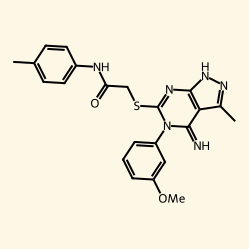 COc1cccc(-n2c(SCC(=O)Nc3ccc(C)cc3)nc3[nH]nc(C)c3c2=N)c1